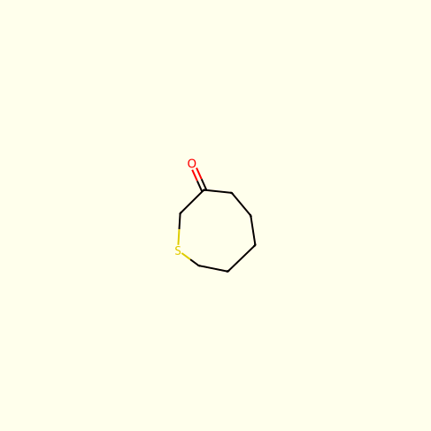 O=C1CCCCCSC1